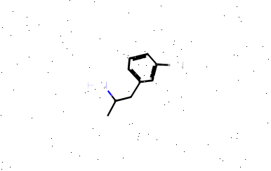 CC(N)Cc1cccc(C#N)c1